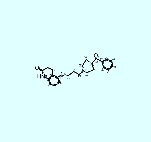 O=C1CCc2c(cccc2OCCCN2CCN(C(=O)c3ccccc3)CC2)N1